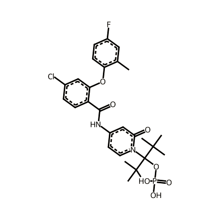 Cc1cc(F)ccc1Oc1cc(Cl)ccc1C(=O)Nc1ccn(C(OP(=O)(O)O)(C(C)(C)C)C(C)(C)C)c(=O)c1